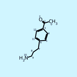 CC(=O)c1ccc(CCCN)cc1